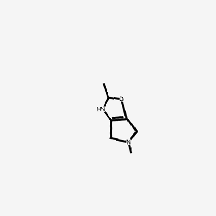 CC1NC2=C(CN(C)C2)O1